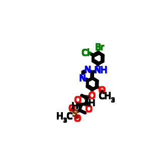 COc1cc2c(Nc3ccc(Br)c(Cl)c3)ncnc2cc1O[C@@H]1CO[C@H]2C(S(C)(=O)=O)CO[C@@H]12